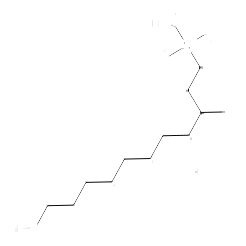 CCCCCCCCCCCCCCCCCCC(CC)CC[N+]([SiH3])(CC)CC.[Br-]